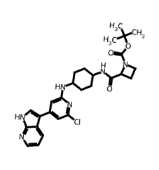 CC(C)(C)OC(=O)N1CCC1C(=O)NC1CCC(Nc2cc(-c3c[nH]c4ncccc34)cc(Cl)n2)CC1